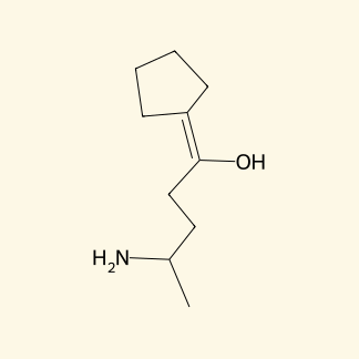 CC(N)CCC(O)=C1CCCC1